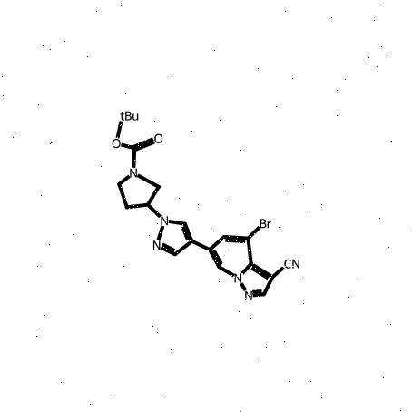 CC(C)(C)OC(=O)N1CCC(n2cc(-c3cc(Br)c4c(C#N)cnn4c3)cn2)C1